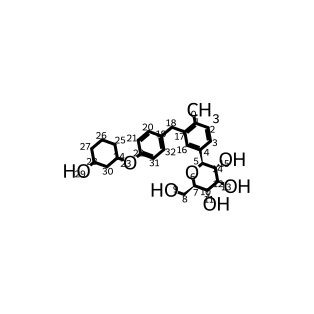 Cc1ccc([C@@H]2O[C@H](CO)[C@@H](O)[C@H](O)[C@H]2O)cc1Cc1ccc(OC2CCCC(O)C2)cc1